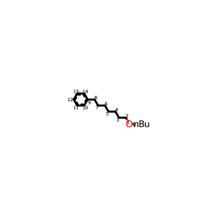 [CH2]CCCOCCCCCCCc1ccccc1